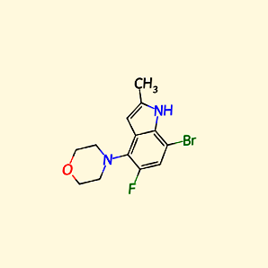 Cc1cc2c(N3CCOCC3)c(F)cc(Br)c2[nH]1